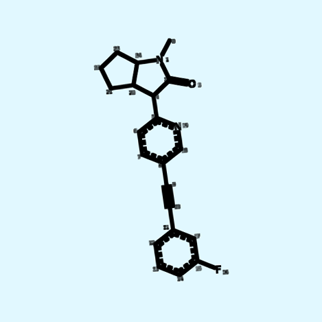 CN1C(=O)C(c2ccc(C#Cc3cccc(F)c3)cn2)C2CCCC21